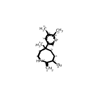 C=C1NCCC(C)(c2cnc(C)c(C)c2)CCC1C(C)(C)C